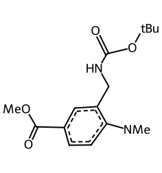 CNc1ccc(C(=O)OC)cc1CNC(=O)OC(C)(C)C